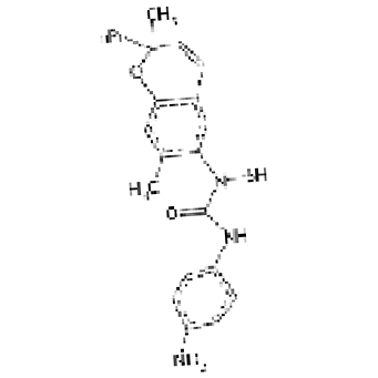 CCCC1(C)C=Cc2cc(N(S)C(=O)Nc3ccc([N+](=O)[O-])cc3)c(C)cc2O1